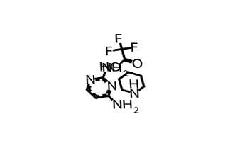 C1CCNCC1.Nc1ccnc(N)n1.O=C(O)C(F)(F)F